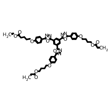 C=COC(=O)CCCCOc1ccc(-c2nnc(-c3cc(-c4nnc(-c5ccc(OCCCCOC(=O)C=C)cc5)o4)cc(-c4nnc(-c5ccc(OCCCCOC(=O)C=C)cc5)o4)c3)o2)cc1